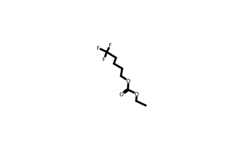 CCOC(=O)OCCCCC(F)(F)F